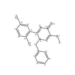 COc1cn(Cc2ccccc2)c(-c2cc(Cl)ccc2Cl)nc1=O